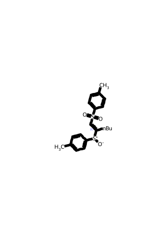 CCCC/C(=C\S(=O)(=O)c1ccc(C)cc1)[S+]([O-])c1ccc(C)cc1